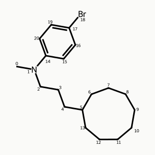 CN(CCCC1CCCCCCCC1)c1ccc(Br)cc1